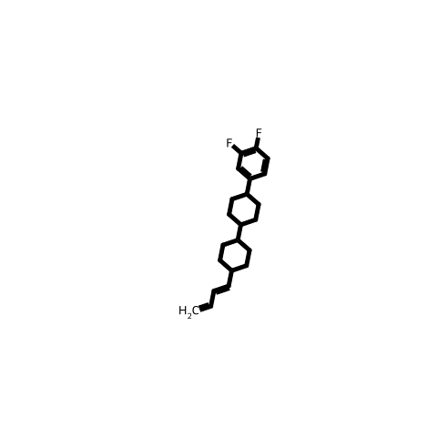 C=CC=CC1CCC(C2CCC(c3ccc(F)c(F)c3)CC2)CC1